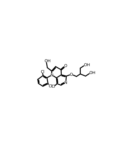 O=c1cc(CO)n(-c2c(Cl)cccc2Cl)c2c(Cl)cnc(OCC(CO)CO)c12